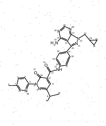 Cc1ccc(-n2nc(C(C)C)cc(C(=O)Nc3ccc(-c4nn(CC5CC5)c5ncnc(N)c45)cc3)c2=O)nc1